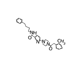 Cc1ccccc1CC(=O)N1CCN(c2ccc(C(=O)NCCCCc3ccccc3)cn2)CC1